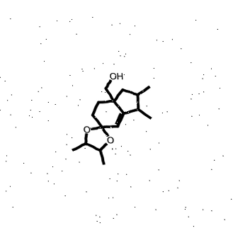 CC1CC2(CO)CCC3(C=C2C1C)OC(C)C(C)O3